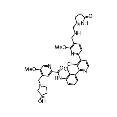 COc1cnc(C(=O)Nc2cccc(-c3nccc(-c4ccc(CNC[C@H]5CCC(=O)N5)c(OC)n4)c3Cl)c2Cl)cc1CN1CC[C@@H](O)C1